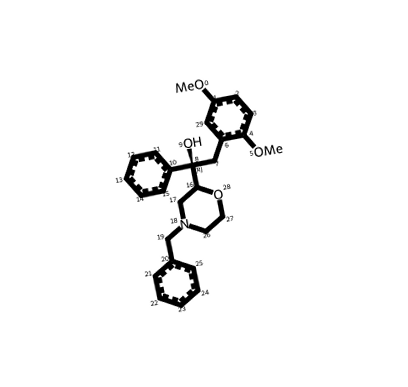 COc1ccc(OC)c(C[C@@](O)(c2ccccc2)C2CN(Cc3ccccc3)CCO2)c1